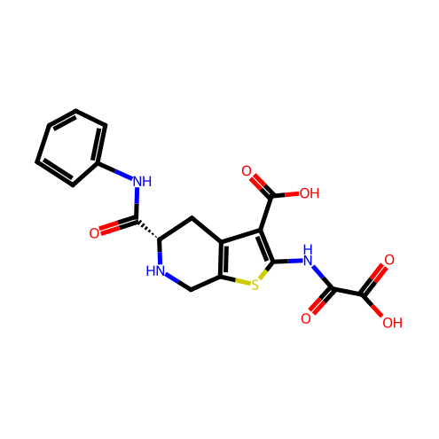 O=C(O)C(=O)Nc1sc2c(c1C(=O)O)C[C@@H](C(=O)Nc1ccccc1)NC2